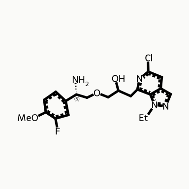 CCn1ncc2cc(Cl)nc(CC(O)COC[C@@H](N)c3ccc(OC)c(F)c3)c21